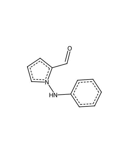 O=Cc1cccn1Nc1ccccc1